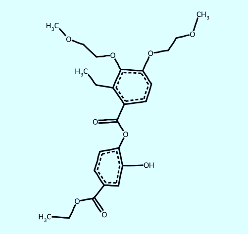 CCOC(=O)c1ccc(OC(=O)c2ccc(OCCOC)c(OCCOC)c2CC)c(O)c1